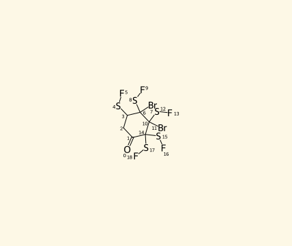 O=C1CC(SF)C(Br)(SF)C(Br)(SF)C1(SF)SF